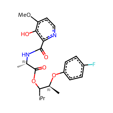 COc1ccnc(C(=O)N[C@@H](C)C(=O)OC(C(C)C)[C@H](C)Oc2ccc(F)cc2)c1O